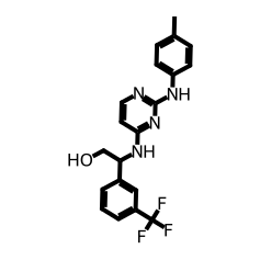 Cc1ccc(Nc2nccc(NC(CO)c3cccc(C(F)(F)F)c3)n2)cc1